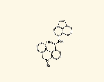 N=C(Nc1ccc2c3c(cccc13)C=C2)c1cccc2c1-c1ccccc1CN2Br